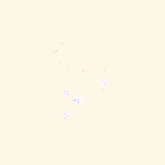 CC(=O)N1CC(F)(F)CC1c1cc2[nH]c(-c3ccccn3)nc2cc1Oc1ccc(S(C)(=O)=O)cc1